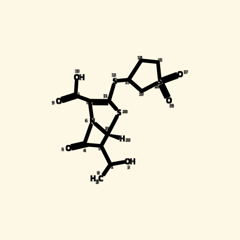 CC(O)C1C(=O)N2C(C(=O)O)=C(SC3CCS(=O)(=O)C3)S[C@H]12